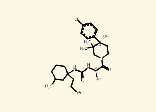 CC(C)CCC1(NC(=O)N[C@@H](C(=O)N2CC[C@](O)(c3ccc(Cl)cc3)C(C)(C)C2)C(C)C)CCCC(C)C1